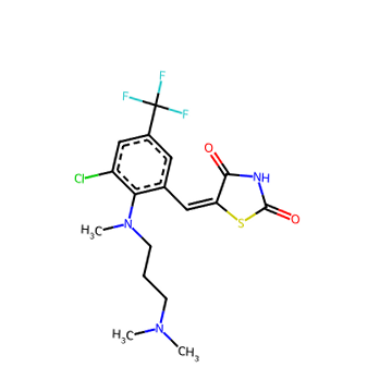 CN(C)CCCN(C)c1c(Cl)cc(C(F)(F)F)cc1/C=C1/SC(=O)NC1=O